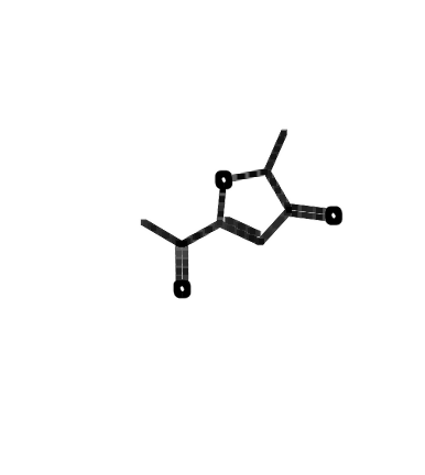 CC(=O)C1=CC(=O)C(C)O1